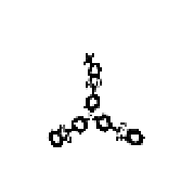 CC(C)(C)c1ccc2oc(-c3ccc(N(c4ccc(-c5nc6ccccc6o5)cc4)c4ccc(-c5nc6ccccc6o5)cc4)cc3)nc2c1